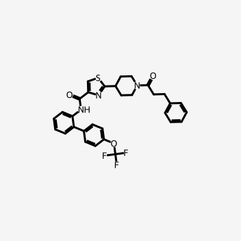 O=C(Nc1ccccc1-c1ccc(OC(F)(F)F)cc1)c1csc(C2CCN(C(=O)CCc3ccccc3)CC2)n1